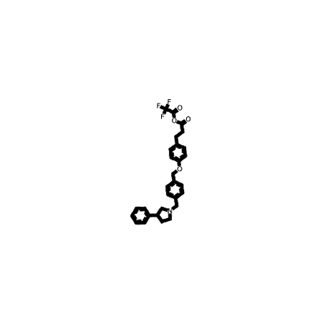 O=C(CCc1ccc(OCc2ccc(CN3CCC(c4ccccc4)C3)cc2)cc1)OC(=O)C(F)(F)F